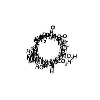 CCCCC[C@@H]1NC(=O)[C@H](CCCN/C(N)=N\C)NC(=O)[C@H](C)NC(=O)CSC[C@@H](C(N)=O)NC(=O)[C@H](CC(=O)O)NC(=O)[C@H](CCCCc2ccccc2)NC(=O)[C@H](Cc2ccc(-c3ccccc3)cc2)NC(=O)[C@H](CC(C)C)NC(=O)[C@H](C(C)C)NC(=O)[C@H](CCC(=O)O)NC(=O)[C@H](CC(=O)O)CC(=O)[C@H](Cc2c[nH]cn2)NC(=O)[C@H](Cc2ccc(O)cc2)NC1=O